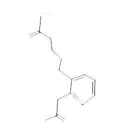 CNC(=O)CCCCc1ccccc1CC(C)=N